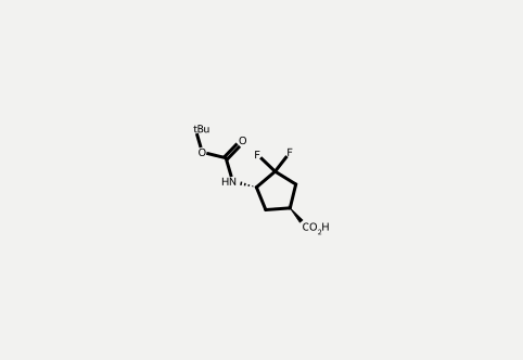 CC(C)(C)OC(=O)N[C@H]1C[C@H](C(=O)O)CC1(F)F